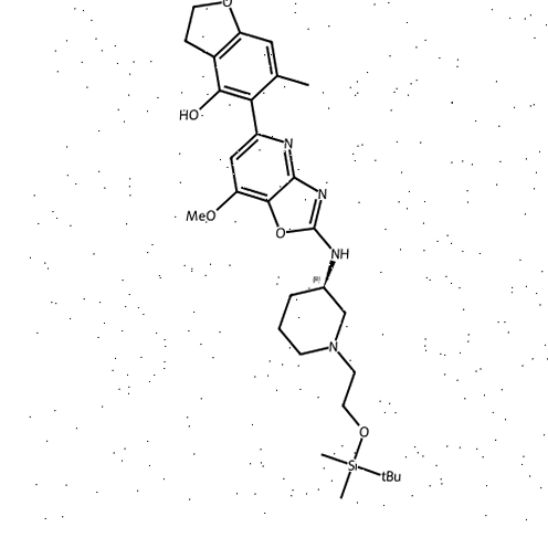 COc1cc(-c2c(C)cc3c(c2O)CCO3)nc2nc(N[C@@H]3CCCN(CCO[Si](C)(C)C(C)(C)C)C3)oc12